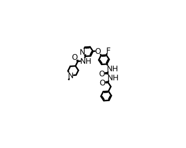 CN1CCC(C(=O)Nc2cc(Oc3ccc(NC(=O)NC(=O)Cc4ccccc4)cc3F)ccn2)CC1